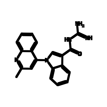 Cc1cc(-n2cc(C(=O)NC(=N)N)c3ccccc32)c2ccccc2n1